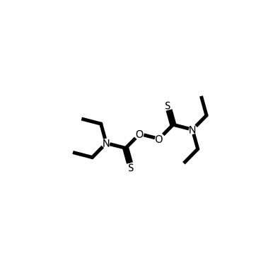 CCN(CC)C(=S)OOC(=S)N(CC)CC